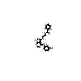 O=C(NCCNc1n[nH]c2ncnc(Nc3cccc(Cl)c3)c12)c1ccccc1